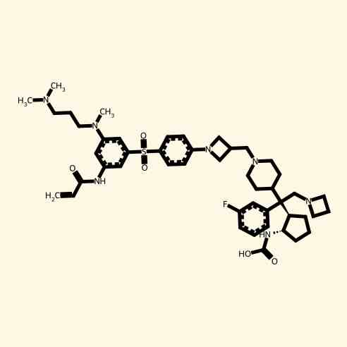 C=CC(=O)Nc1cc(N(C)CCCN(C)C)cc(S(=O)(=O)c2ccc(N3CC(CN4CCC(C(CN5CCC5)(c5cccc(F)c5)[C@H]5CCC[C@@H]5NC(=O)O)CC4)C3)cc2)c1